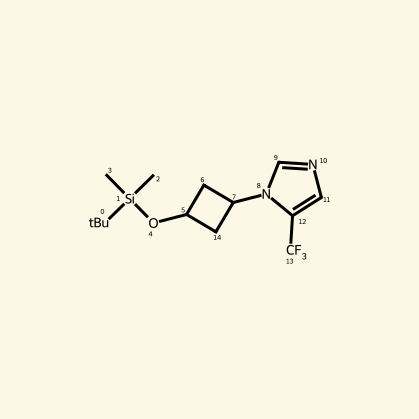 CC(C)(C)[Si](C)(C)OC1CC(n2cncc2C(F)(F)F)C1